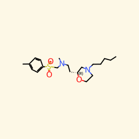 CCCCCN1CCO[C@H](CCN(C)CS(=O)(=O)c2ccc(C)cc2)C1